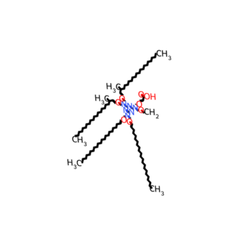 C=COCN(COC=CC(=O)O)c1nc(N(COC=CCCCCCCCCCCCCCCCCCCCCC)COC=CCCCCCCCCCCCCCCCCCCCCC)nc(N(COC=CC(C)CCCCCCCCCCCCCCCCCCC)COC=CC(C)CCCCCCCCCCCCCCCCCCC)n1